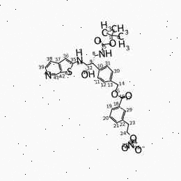 CC(C)(C)OC(=O)NC[C@H](c1ccc(COC(=O)c2cccc(CCO[N+](=O)[O-])c2)cc1)[C@H](O)Nc1cc2ccncc2s1